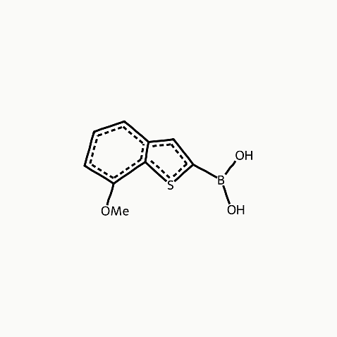 COc1cccc2cc(B(O)O)sc12